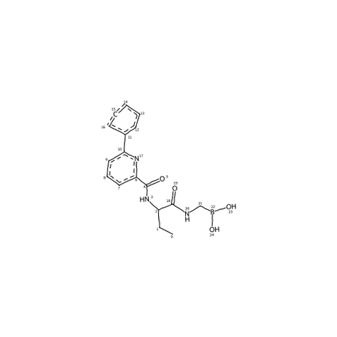 CCC(NC(=O)c1cccc(-c2ccccc2)n1)C(=O)NCB(O)O